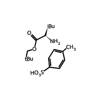 CC[C@H](C)[C@H](N)C(=O)OCC(C)(C)C.Cc1ccc(S(=O)(=O)O)cc1